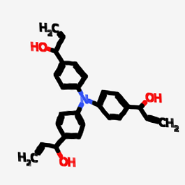 C=CC(O)c1ccc(N(c2ccc(C(O)C=C)cc2)c2ccc(C(O)C=C)cc2)cc1